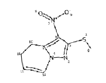 CSc1nn2c(c1[N+](=O)[O-])CCC=C2